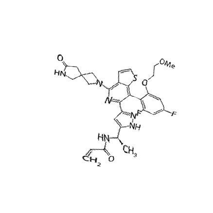 C=CC(=O)N[C@H](C)c1cc(-c2nc(N3CC4(CNC(=O)C4)C3)c3ccsc3c2-c2c(F)cc(F)cc2OCCOC)n[nH]1